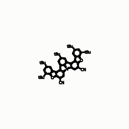 CC(C)(C)c1cc(C(C)(C)C)c2oc3c(C#N)cc4c(c5cc(C(C)(C)C)cc6c7c8c(oc9c(C(C)(C)C)cc(C(C)(C)C)cc98)c(C#N)cc7n4c56)c3c2c1